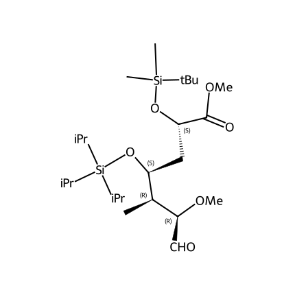 COC(=O)[C@H](C[C@H](O[Si](C(C)C)(C(C)C)C(C)C)[C@H](C)[C@H](C=O)OC)O[Si](C)(C)C(C)(C)C